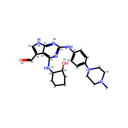 CN1CCN(c2ccc(Nc3nc(NC4CCCCC4O)c4c(C=O)c[nH]c4n3)cc2)CC1